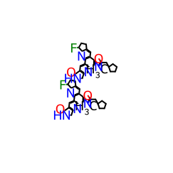 CC1(Cc2ncc(-c3cc4c(nc3-c3cnc5c(c3)C(=O)NC5)C(F)CC4)o2)CCCC1.CC1(Cc2ncc(-c3cc4c(nc3-c3cnc5c(c3)C(=O)NC5)C(F)CC4)o2)CCCC1